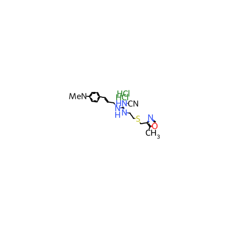 CNc1ccc(/C=C/CN/C(=N/CCSCc2ncoc2C)NC#N)cc1.Cl.Cl